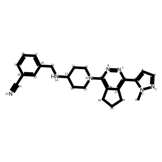 Cn1nccc1-c1nnc(N2CCC(NCc3cccc(C#N)c3)CC2)c2c1CCC2